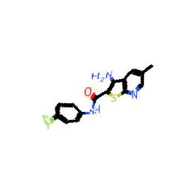 Cc1cnc2sc(C(=O)Nc3ccc(F)cc3)c(N)c2c1